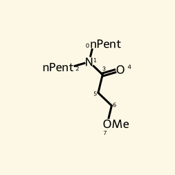 CCCCCN(CCCCC)C(=O)CCOC